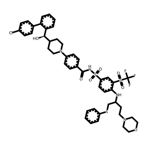 O=C(NS(=O)(=O)c1ccc(NC(CCN2CCOCC2)CSc2ccccc2)c(S(=O)(=O)C(F)(F)F)c1)c1ccc(N2CCC([C@@H](O)c3ccccc3-c3ccc(Cl)cc3)CC2)cc1